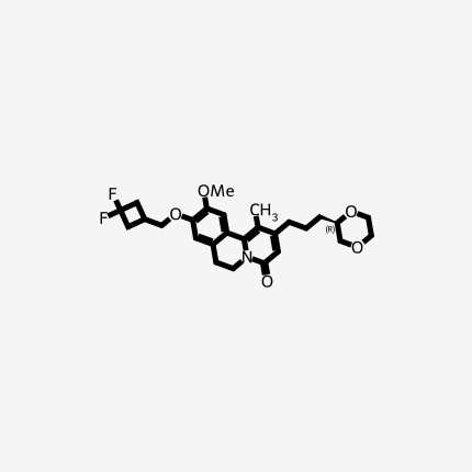 COc1cc2c(cc1OCC1CC(F)(F)C1)CCn1c-2c(C)c(CCC[C@@H]2COCCO2)cc1=O